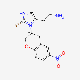 NCCc1c[nH]c(=S)n1[C@H]1COc2ccc([N+](=O)[O-])cc2C1